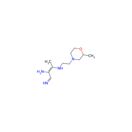 C/C(NCCN1CCOC(C)C1)=C(\N)C=N